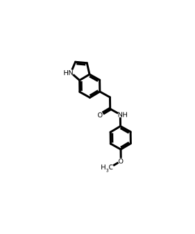 COc1ccc(NC(=O)Cc2ccc3[nH]ccc3c2)cc1